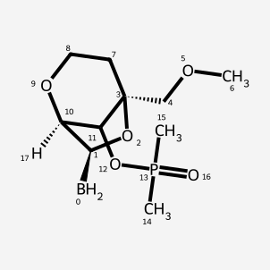 B[C@@H]1O[C@]2(COC)CCO[C@H]1C2OP(C)(C)=O